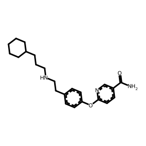 NC(=O)c1ccc(Oc2ccc(CCNCCCC3CCCCC3)cc2)nc1